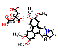 COc1cc2c3c(c4cc(OC)c(OC)cc4c2cc1OC)CN1CCC[C@H]1C3.O=C(O)CC(O)(CC(=O)O)C(=O)O